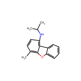 Cc1ccc(NC(C)C)c2c1oc1ccccc12